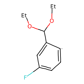 CCOC(OCC)c1[c]ccc(F)c1